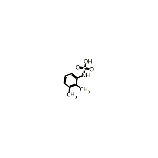 Cc1cccc(NS(=O)(=O)O)c1C